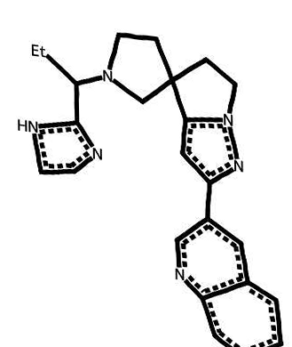 CCC(c1ncc[nH]1)N1CCC2(CCn3nc(-c4cnc5ccccc5c4)cc32)C1